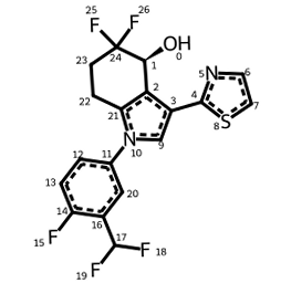 O[C@H]1c2c(-c3nccs3)cn(-c3ccc(F)c(C(F)F)c3)c2CCC1(F)F